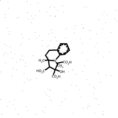 CN1c2ccccc2CCC1(C)C(C(=O)O)C(O)(CC(=O)O)C(=O)O